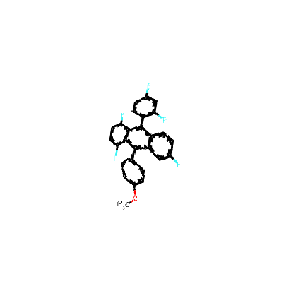 COc1ccc(-c2c3cc(F)ccc3c(-c3ccc(F)cc3F)c3c(F)ccc(F)c23)cc1